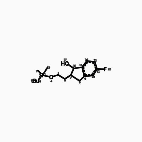 CC(C)(C)[Si](C)(C)OCCC1Cc2cc(F)ccc2C1O